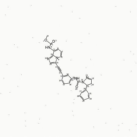 COC(=O)Nc1cccn2c(C#Cc3cccc(NC(=O)N4N=CCC4c4ccccc4)c3)cnc12